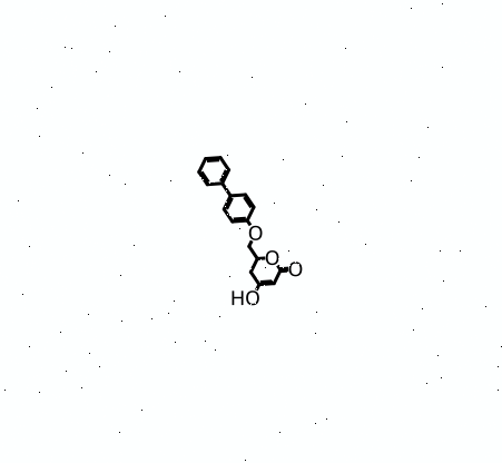 O=C1C=C(O)CC(COc2ccc(-c3ccccc3)cc2)O1